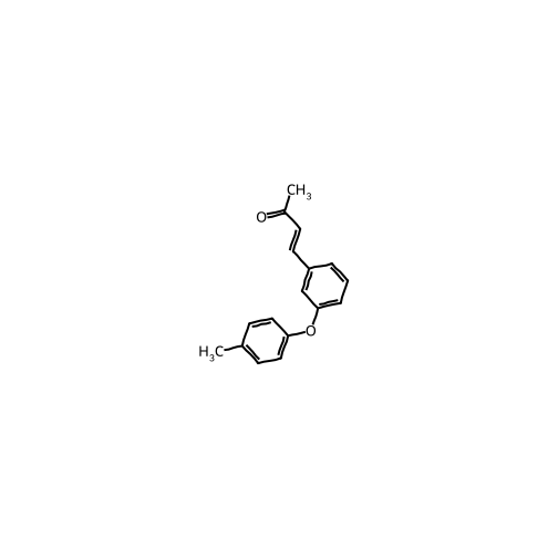 CC(=O)C=Cc1cccc(Oc2ccc(C)cc2)c1